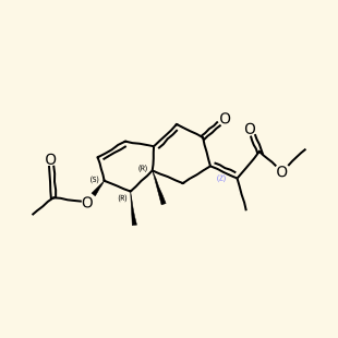 COC(=O)/C(C)=C1/C[C@@]2(C)C(=CC1=O)C=C[C@H](OC(C)=O)[C@@H]2C